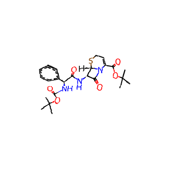 CC(C)(C)OC(=O)N[C@H](C(=O)N[C@@H]1C(=O)N2C(C(=O)OC(C)(C)C)=CCS[C@@H]12)c1ccccc1